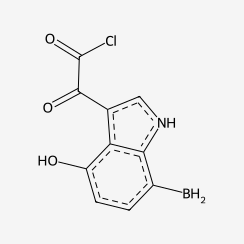 Bc1ccc(O)c2c(C(=O)C(=O)Cl)c[nH]c12